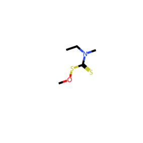 CCN(C)C(=S)SOC